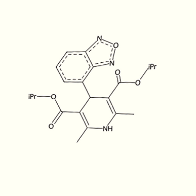 CC1=C(C(=O)OC(C)C)C(c2cccc3nonc23)C(C(=O)OC(C)C)=C(C)N1